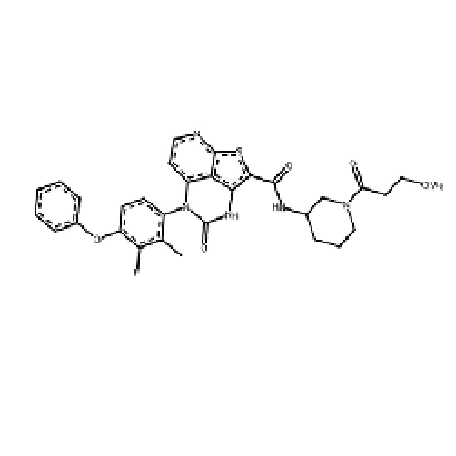 COCCC(=O)N1CCCC(NC(=O)c2sc3nccc4c3c2NC(=O)N4c2ccc(Oc3ccccc3)c(F)c2C)C1